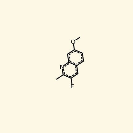 COc1ccc2cc(F)c(C)nc2c1